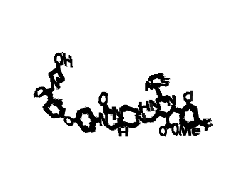 COC(=O)C1=C(CN2CCN3C(=O)N(c4ccc(Oc5ccc(C(=O)N6CC(O)C6)cc5)cc4)C[C@@H]3C2)NC(c2nccs2)=NC1c1ccc(F)cc1Cl